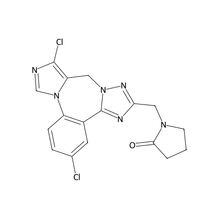 O=C1CCCN1Cc1nc2n(n1)Cc1c(Cl)ncn1-c1ccc(Cl)cc1-2